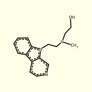 CN(CCO)CCn1c2ccccc2c2ccncc21